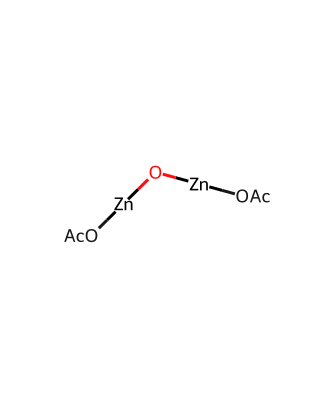 CC(=O)[O][Zn][O][Zn][O]C(C)=O